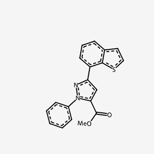 COC(=O)c1cc(-c2cccc3ccsc23)nn1-c1ccccc1